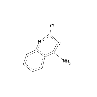 Nc1nc(Cl)nc2ccccc12